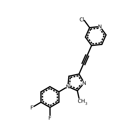 Cc1nc(C#Cc2ccnc(Cl)c2)cn1-c1ccc(F)c(F)c1